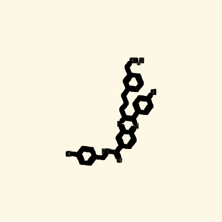 O=C(O)Cc1cccc(CCCc2nc3cc(C(=O)NCc4ccc(Cl)cc4)ccc3nc2-c2ccc(Cl)cc2)c1